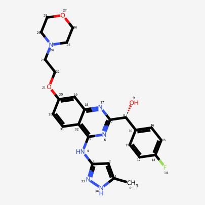 Cc1cc(Nc2nc([C@H](O)c3ccc(F)cc3)nc3cc(OCCN4CCOCC4)ccc23)n[nH]1